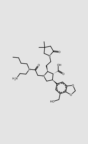 CCCCN(CCN)C(=O)CN1C[C@H](c2cc(CO)c3c(c2)OCO3)[C@@H](C(=O)O)[C@@H]1CCN1CC(C)(C)CC1=O